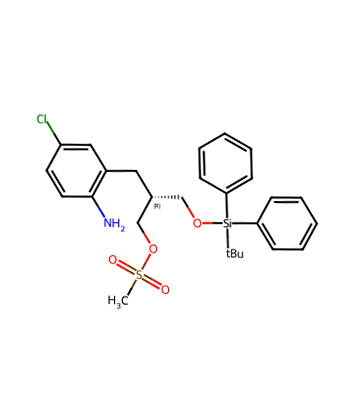 CC(C)(C)[Si](OC[C@H](COS(C)(=O)=O)Cc1cc(Cl)ccc1N)(c1ccccc1)c1ccccc1